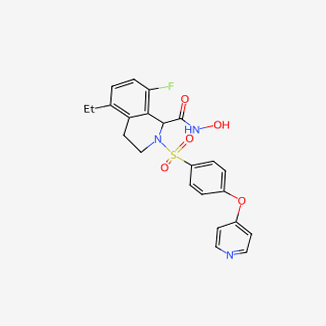 CCc1ccc(F)c2c1CCN(S(=O)(=O)c1ccc(Oc3ccncc3)cc1)C2C(=O)NO